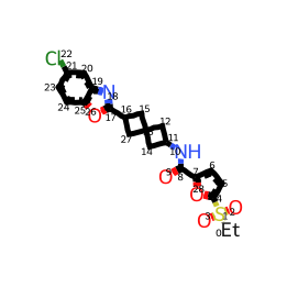 CCS(=O)(=O)c1ccc(C(=O)NC2CC3(C2)CC(c2nc4cc(Cl)ccc4o2)C3)o1